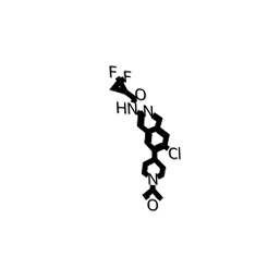 O=C(Nc1cc2cc(C3CCN(C4COC4)CC3)c(Cl)cc2cn1)C1CC1(F)F